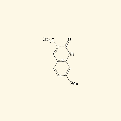 CCOC(=O)c1cc2ccc(SC)cc2[nH]c1=O